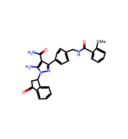 COc1ccccc1C(=O)NCc1ccc(-c2nn(C3CC(=O)c4ccccc43)c(N)c2C(N)=O)cc1